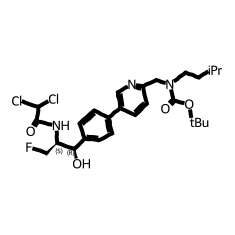 CC(C)CCN(Cc1ccc(-c2ccc([C@@H](O)[C@@H](CF)NC(=O)C(Cl)Cl)cc2)cn1)C(=O)OC(C)(C)C